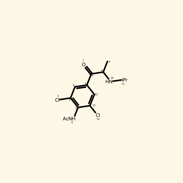 CC(=O)Nc1c(Cl)cc(C(=O)C(C)NC(C)C)cc1Cl